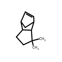 CC1(C)CCC2C3C=CC(C3)C21